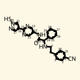 N#Cc1ccc(CCNC(C(=O)Nc2cnc(-c3cnn(S)c3)nc2)c2ccccc2)cc1